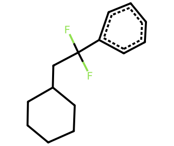 FC(F)(CC1CCCCC1)c1ccccc1